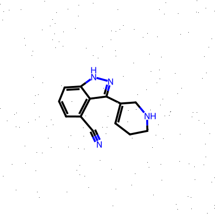 N#Cc1cccc2[nH]nc(C3=CCCNC3)c12